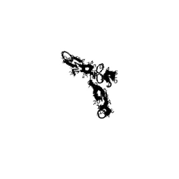 O=C(Oc1cccs1)N(CC1C2CN(Cc3ccoc3)CC21)c1ccc(N2CCOCC2)c(F)c1